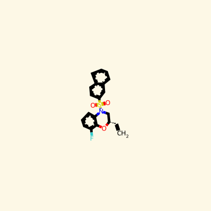 C=C[C@H]1CN(S(=O)(=O)c2ccc3ccccc3c2)c2cccc(F)c2O1